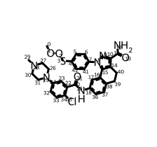 COOSc1ccc(-n2nc(C(N)=O)c3c2-c2cc(NC(=O)c4cc(N5CCN(C)CC5)ccc4Cl)ccc2CC3)cc1